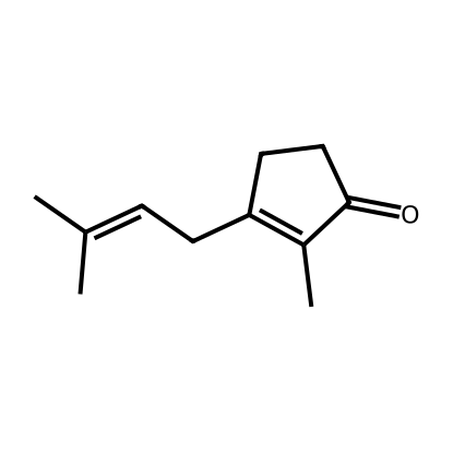 CC(C)=CCC1=C(C)C(=O)CC1